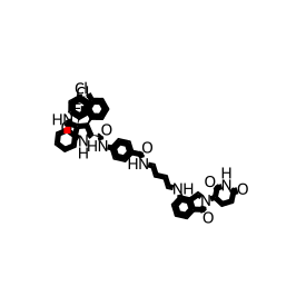 O=C1CCC(N2Cc3c(NCCCCNC(=O)c4ccc(NC(=O)[C@@H]5NC6(CCCCC6)[C@@]6(C(=O)Nc7cc(Cl)ccc76)[C@H]5c5cccc(Cl)c5F)cc4)cccc3C2=O)C(=O)N1